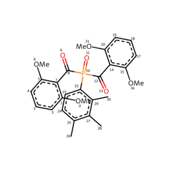 COc1cccc(OC)c1C(=O)P(=O)(C(=O)c1c(OC)cccc1OC)c1ccc(C)c(C)c1C